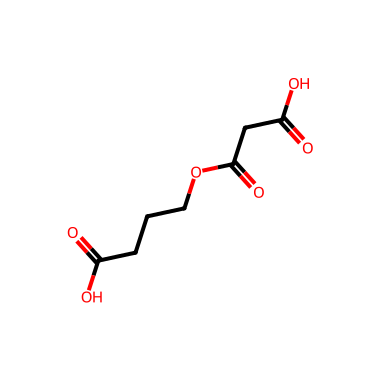 O=C(O)CCCOC(=O)CC(=O)O